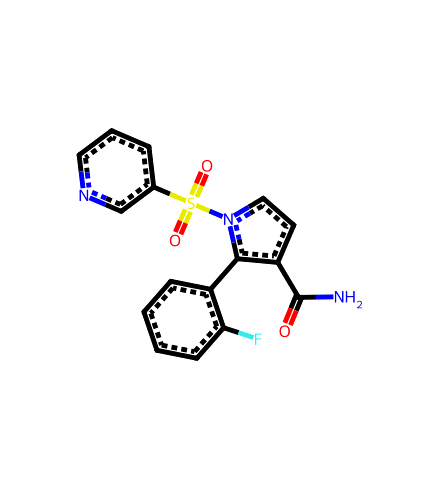 NC(=O)c1ccn(S(=O)(=O)c2cccnc2)c1-c1ccccc1F